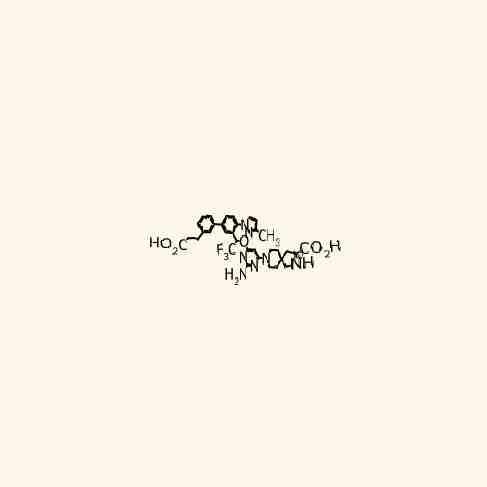 Cc1ccn(-c2ccc(-c3cccc(CCC(=O)O)c3)cc2C(Oc2cc(N3CCC4(CC3)CN[C@H](C(=O)O)C4)nc(N)n2)C(F)(F)F)n1